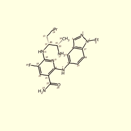 CCn1ncc2cc(Nc3nc(N[C@H](CC(C)C)[C@H](C)N)c(F)cc3C(N)=O)ccc21